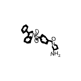 N[C@@H]1CCN(C(=O)c2ccc(S(=O)(=O)n3cc(-c4ccccc4)c4ccccc43)cc2)C1